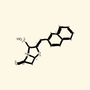 O=C(O)C1/C(=C/c2ccc3ccccc3c2)OC2CC(=O)N21